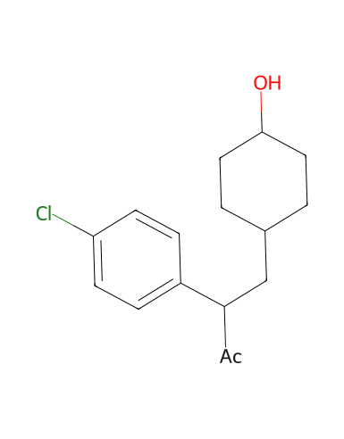 CC(=O)C(CC1CCC(O)CC1)c1ccc(Cl)cc1